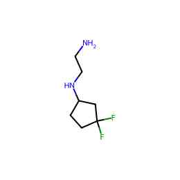 NCCNC1CCC(F)(F)C1